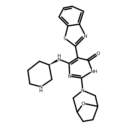 O=c1[nH]c(N2CC3CCC(C2)O3)nc(N[C@@H]2CCCNC2)c1-c1nc2ccccc2s1